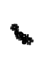 C[C@]1(COC(=O)c2ccccc2)C=CCC(OCc2ccccc2)CO1